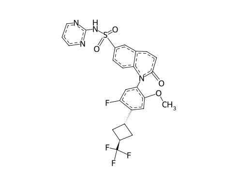 COc1cc([C@H]2C[C@H](C(F)(F)F)C2)c(F)cc1-n1c(=O)ccc2cc(S(=O)(=O)Nc3ncccn3)ccc21